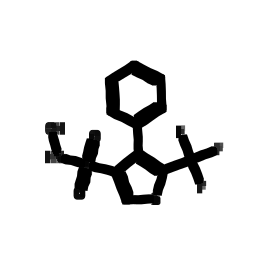 O=S(=O)(NO)c1csc(C(F)(F)F)c1-c1ccccc1